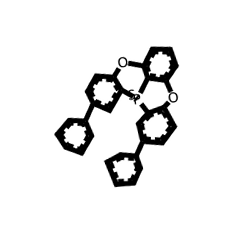 S=P12c3cc(-c4ccccc4)ccc3Oc3cccc(c31)Oc1ccc(-c3ccccc3)cc12